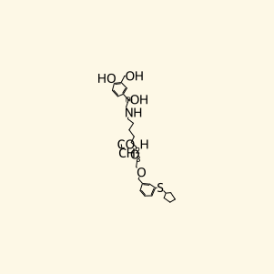 CC(=O)O.OCc1cc([C@@H](O)CNCCCCCCOCCOCc2cccc(SC3CCCC3)c2)ccc1O